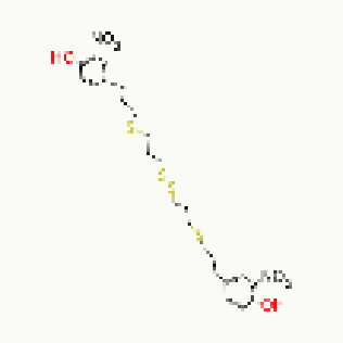 O=[N+]([O-])c1cc(CCCSCCCSSCCCSCCCc2ccc(O)c([N+](=O)[O-])c2)ccc1O